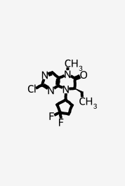 CC[C@@H]1C(=O)N(C)c2cnc(Cl)nc2N1C1CCC(F)(F)C1